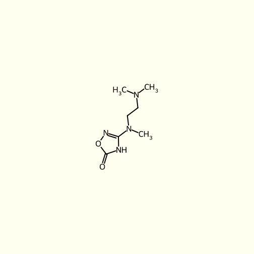 CN(C)CCN(C)c1noc(=O)[nH]1